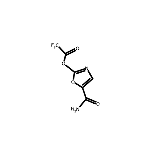 NC(=O)c1cnc(OC(=O)C(F)(F)F)o1